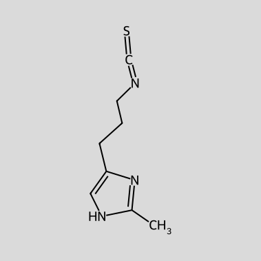 Cc1nc(CCCN=C=S)c[nH]1